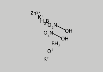 B.B.O=[N+]([O-])O.O=[N+]([O-])O.[K+].[K+].[O-2].[Zn+2]